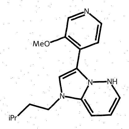 COc1cnccc1C1=CN(CCC(C)C)C2=CC=CNN12